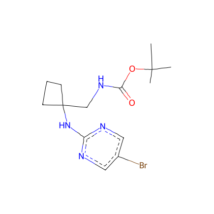 CC(C)(C)OC(=O)NCC1(Nc2ncc(Br)cn2)CCC1